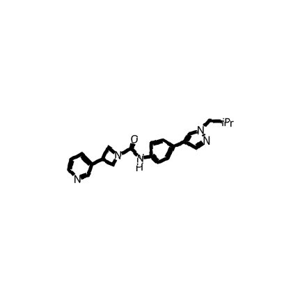 CC(C)Cn1cc(-c2ccc(NC(=O)N3CC(c4cccnc4)C3)cc2)cn1